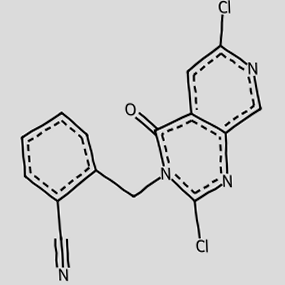 N#Cc1ccccc1Cn1c(Cl)nc2cnc(Cl)cc2c1=O